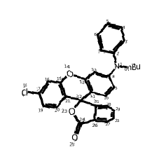 CCCCN(c1ccccc1)c1ccc2c(c1)Oc1cc(Cl)ccc1C21OC(=O)c2ccccc21